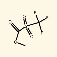 COC(=O)S(=O)(=O)C(F)(F)F